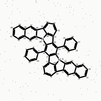 c1ccc(-c2c3c4cccc5c6cc7ccccc7cc6n(c3c(-c3ccccc3)c3c6cccc7c8cc9ccccc9cc8n(c23)c76)c54)cc1